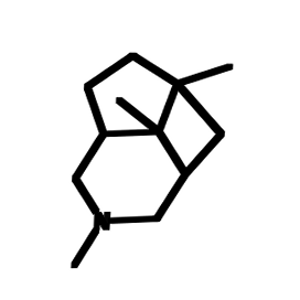 CN1CC2CCC3(C)CC(C1)C23C